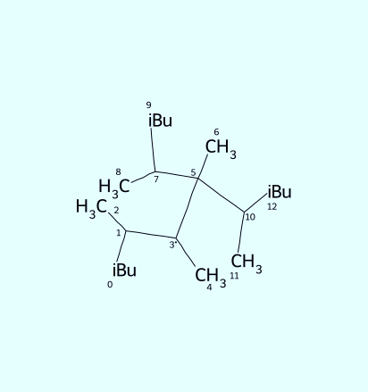 CCC(C)C(C)[C](C)C(C)(C(C)C(C)CC)C(C)C(C)CC